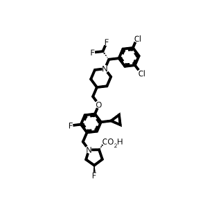 O=C(O)[C@@H]1C[C@@H](F)CN1Cc1cc(C2CC2)c(OCC2CCN([C@@H](c3cc(Cl)cc(Cl)c3)C(F)F)CC2)cc1F